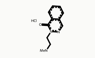 CNCCn1ncc2ccccc2c1=O.Cl